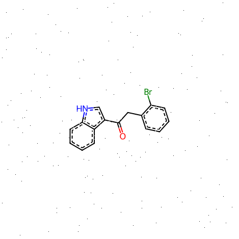 O=C(Cc1ccccc1Br)c1c[nH]c2ccccc12